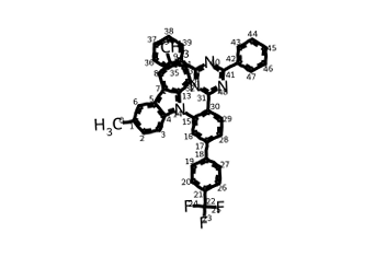 Cc1ccc2c(c1)c1cc(C)ccc1n2-c1cc(-c2ccc(C(F)(F)F)cc2)ccc1-c1nc(-c2ccccc2)nc(-c2ccccc2)n1